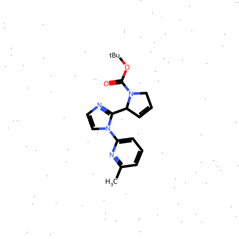 Cc1cccc(-n2ccnc2C2C=CCN2C(=O)OC(C)(C)C)n1